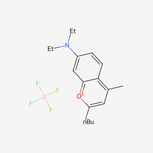 CCCCc1cc(C)c2ccc(N(CC)CC)cc2[o+]1.F[B-](F)(F)F